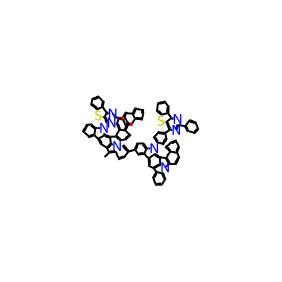 C=C(/C=C\c1c(C)c2cc3c4ccccc4n(-c4nc(-c5ccc6ccccc6c5)nc5c4sc4ccccc45)c3c3c4c5ccccc5ccc4n1c23)c1ccc2c(c1)c1cc3c4ccccc4n4c5ccc6ccccc6c5c(c1n2-c1ccc(-c2nc(-c5ccccc5)nc5c2sc2ccccc25)cc1)c34